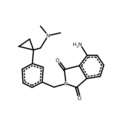 CN(C)CC1(c2cccc(CN3C(=O)c4cccc(N)c4C3=O)c2)CC1